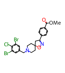 COC(=O)c1ccc(C2=NOC3(CCN(Cc4cc(Br)c(Cl)c(Br)c4)CC3)C2)cc1